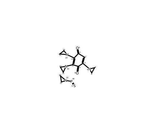 O=C1C=C(N2CC2)C(=O)C(N2CC2)=C1N1CC1.S=PN1CC1